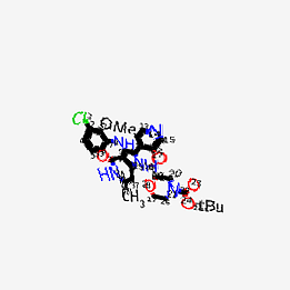 COc1c(Cl)cccc1Nc1c(-c2ccncc2OC[C@@H]2CN(C(=O)OC(C)(C)C)CCO2)[nH]c2c1C(=O)N[C@H](C)C2